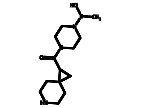 CB(O)N1CCN(C(=O)C2CC23CCNCC3)CC1